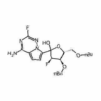 CCCCOC[C@H]1OC(O)(c2ccc3c(N)nc(F)nn23)[C@H](F)[C@@H]1OCCCC